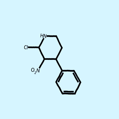 O=[N+]([O-])C1C(Cl)NCCC1c1ccccc1